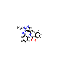 COc1ccccc1C(O)N1Cc2cnn(C)c2Nc2ccccc21